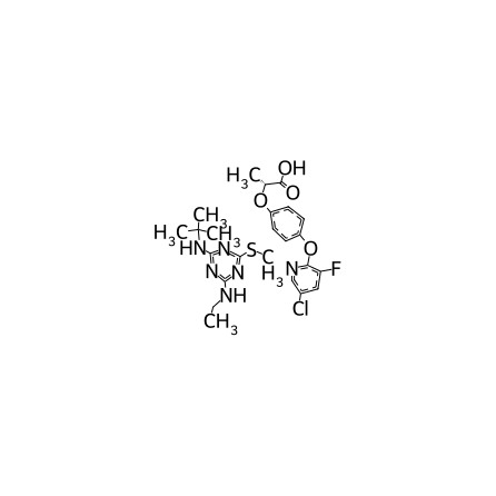 CCNc1nc(NC(C)(C)C)nc(SC)n1.C[C@@H](Oc1ccc(Oc2ncc(Cl)cc2F)cc1)C(=O)O